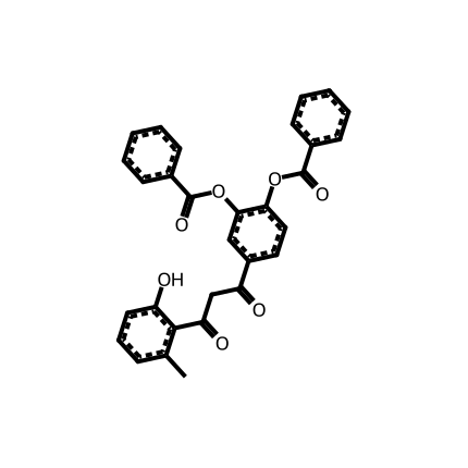 Cc1cccc(O)c1C(=O)CC(=O)c1ccc(OC(=O)c2ccccc2)c(OC(=O)c2ccccc2)c1